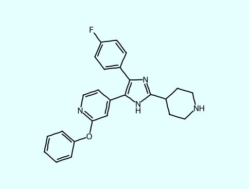 Fc1ccc(-c2nc(C3CCNCC3)[nH]c2-c2ccnc(Oc3ccccc3)c2)cc1